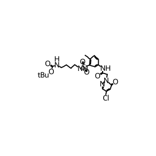 Cc1ccc(NC(=O)Cn2ncc(Cl)cc2=O)cc1S(=O)(=O)NCCCCNC(=O)OC(C)(C)C